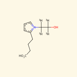 [2H]C([2H])(O)C([2H])([2H])n1cccc1CCCC(=O)O